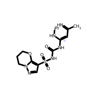 CC(=N)/C=C(/NC(=O)NS(=O)(=O)c1cnn2c1OCCC2)NC(C)C